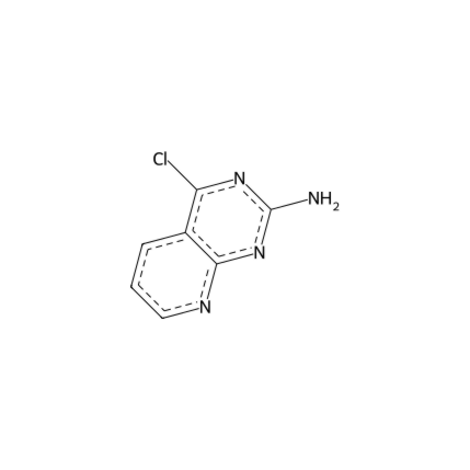 Nc1nc(Cl)c2cccnc2n1